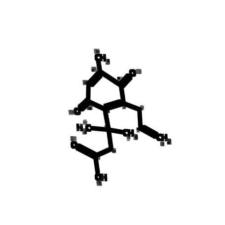 C=CCC1=C(C(C)(C)CC(=O)O)C(=O)C=C(C)C1=O